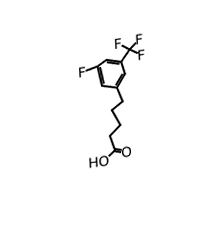 O=C(O)CCCCc1cc(F)cc(C(F)(F)F)c1